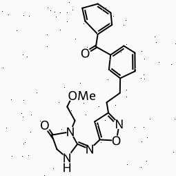 COCCN1C(=O)CNC1=Nc1cc(CCc2cccc(C(=O)c3ccccc3)c2)no1